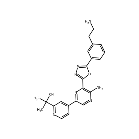 CC(C)(C#N)c1cc(-c2cnc(N)c(-c3nnc(-c4cccc(CCN)c4)o3)n2)ccn1